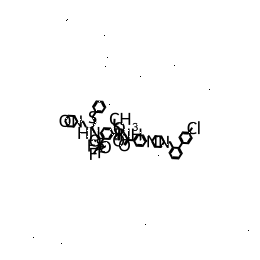 CCOP(=O)(NC(=O)c1ccc(N2CCN(Cc3ccccc3-c3ccc(Cl)cc3)CC2)cc1)c1ccc(N[C@H](CCN2CCOCC2)CSc2ccccc2)c(S(=O)(=O)C(F)(F)F)c1